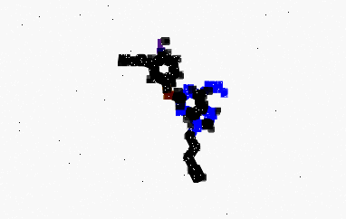 C#CCCCn1cnc2c(N)nc(Sc3ccc(I)c(OC)c3)nc21